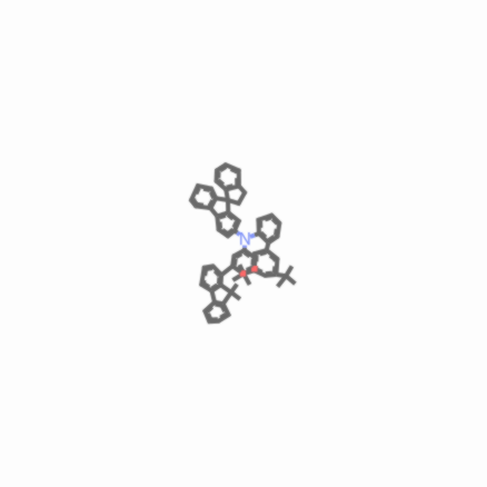 CC(C)(C)c1cc(-c2ccccc2N(c2cccc(-c3cccc4c3C(C)(C)c3ccccc3-4)c2)c2ccc3c(c2)C2(CCc4ccccc42)c2ccccc2-3)cc(C(C)(C)C)c1